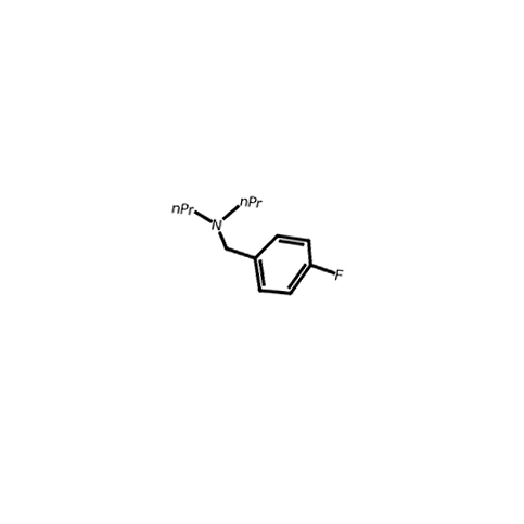 CCCN(CCC)Cc1ccc(F)cc1